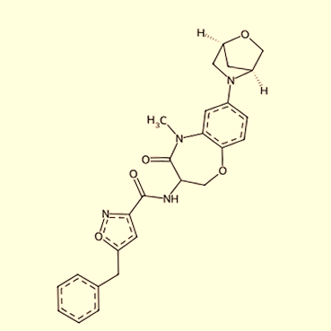 CN1C(=O)C(NC(=O)c2cc(Cc3ccccc3)on2)COc2ccc(N3C[C@@H]4C[C@H]3CO4)cc21